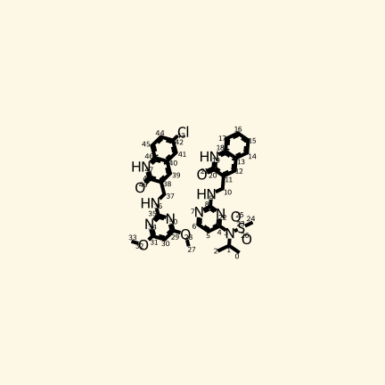 CC(C)N(c1ccnc(NCc2cc3ccccc3[nH]c2=O)n1)S(C)(=O)=O.COc1cc(OC)nc(NCc2cc3cc(Cl)ccc3[nH]c2=O)n1